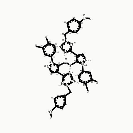 COc1ccc(Cn2nnc(-c3cnn(-c4ccc(C)c(C)c4)c3SSc3c(-c4nnn(Cc5ccc(OC)cc5)n4)cnn3-c3ccc(C)c(C)c3)n2)cc1